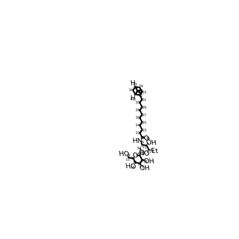 CC[C@@H](O)[C@@H](O)[C@H](COC1OC(CO)C(O)C(O)C1O)NC(=O)CCCCCCCCCCC1CC[C@H]2C[C@@H]1C2(C)C